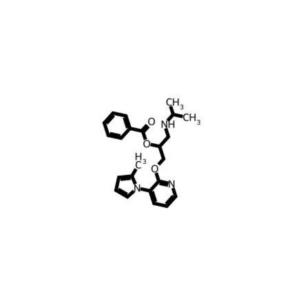 Cc1cccn1-c1cccnc1OCC(CNC(C)C)OC(=O)c1ccccc1